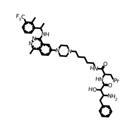 Cc1c(C(C)Nc2nnc(C)c3ccc(N4CCN(CCCCCNC(=O)C(CC(C)C)NC(=O)C(O)C(N)Cc5ccccc5)CC4)cc23)cccc1C(F)(F)F